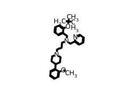 COc1ccccc1C1CCN(CCCN(Cc2ccccn2)Cc2ccccc2OC(C)(C)C)CC1